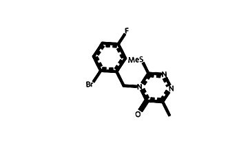 CSc1nnc(C)c(=O)n1Cc1cc(F)ccc1Br